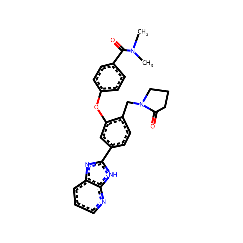 CN(C)C(=O)c1ccc(Oc2cc(-c3nc4cccnc4[nH]3)ccc2CN2CCCC2=O)cc1